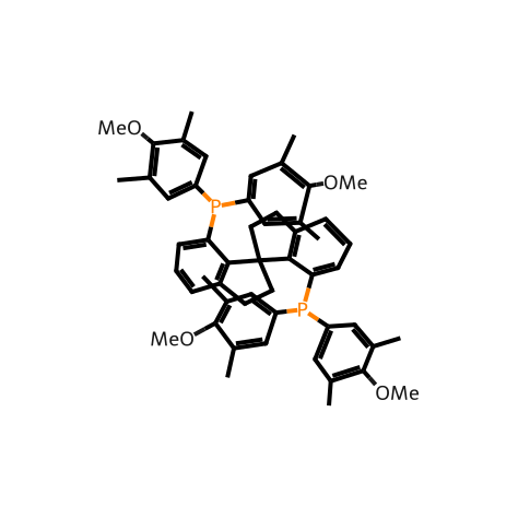 COc1c(C)cc(P(c2cc(C)c(OC)c(C)c2)c2cccc3c2C2(CC3)CCc3cccc(P(c4cc(C)c(OC)c(C)c4)c4cc(C)c(OC)c(C)c4)c32)cc1C